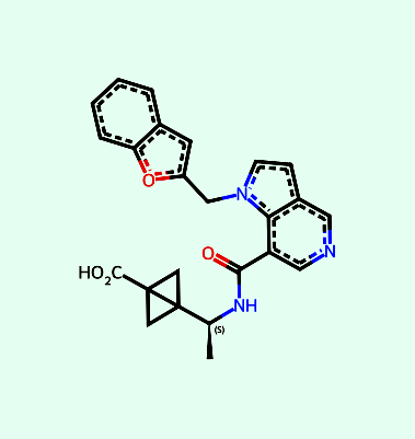 C[C@H](NC(=O)c1cncc2ccn(Cc3cc4ccccc4o3)c12)C12CC1(C(=O)O)C2